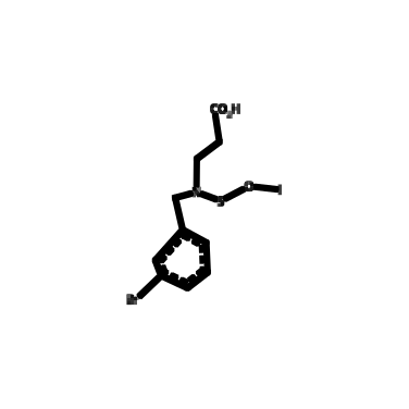 O=C(O)CCN(Cc1cccc(Br)c1)SOI